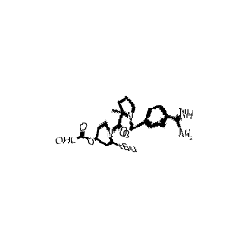 CC(C)(C)C1CC(OC(=O)C=O)CCN1C(=O)[C@]1(C)CCCN1C(=O)c1ccc(C(=N)N)cc1